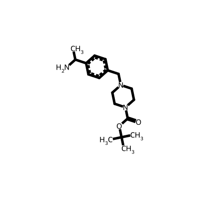 CC(N)c1ccc(CN2CCN(C(=O)OC(C)(C)C)CC2)cc1